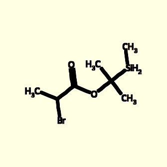 C[SiH2]C(C)(C)OC(=O)C(C)Br